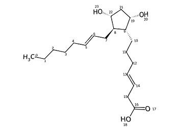 CCCCCC=CC[C@@H]1[C@@H](CCCC=CCC(=O)O)[C@@H](O)C[C@H]1O